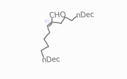 CCCCCCCCCCCCCC/C=C(/C=O)CCCCCCCCCCCCC